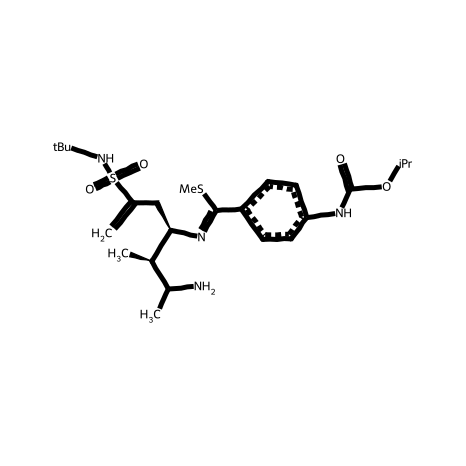 C=C(C[C@@H](/N=C(\SC)c1ccc(NC(=O)OC(C)C)cc1)[C@H](C)C(C)N)S(=O)(=O)NC(C)(C)C